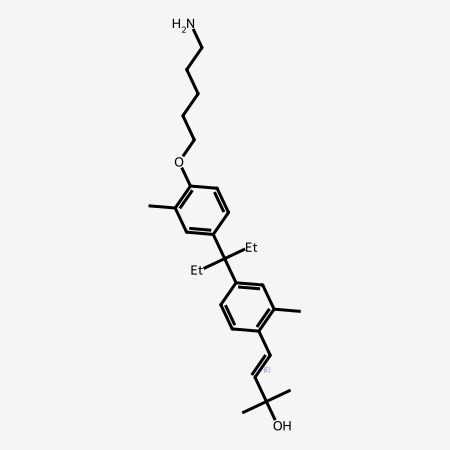 CCC(CC)(c1ccc(/C=C/C(C)(C)O)c(C)c1)c1ccc(OCCCCCN)c(C)c1